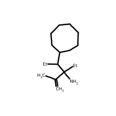 C=C(C)C(N)(CC)C(CC)C1CCCCCCC1